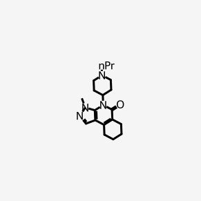 CCCN1CCC(n2c(=O)c3c(c4cnn(C)c42)CCCC3)CC1